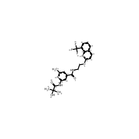 Cc1cc(C(=O)NCCOc2ccc3cccc(C(F)(F)F)c3n2)cc(NC(=O)C(C)(C)O)n1